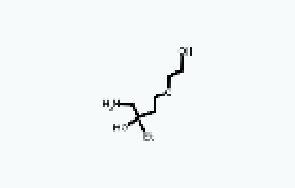 CCC(O)(CN)CCOCCO